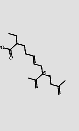 C=C(C)CC[C@H](CC=CCCC(CC)C(=O)O)C(=C)C